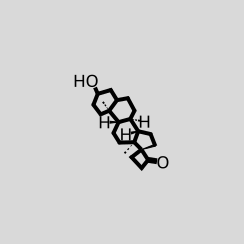 C[C@]12CCC(O)CC1CC[C@@H]1[C@@H]2CC[C@@]2(C)[C@H]1CC[C@@]21CCC1=O